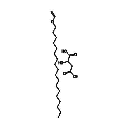 C=COCCCCCCCCCCCCCCCCCC.O=C(O)CC(O)C(=O)O